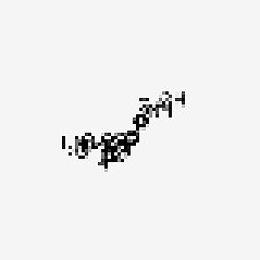 CS(=O)(=O)C(C(=O)NCCS(N)(=O)=O)c1nc2ccc(-c3ccc(C(=O)NCCO)cc3)cc2s1